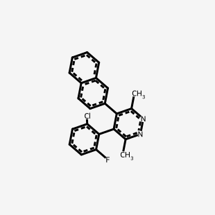 Cc1nnc(C)c(-c2c(F)cccc2Cl)c1-c1ccc2ccccc2c1